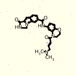 CN(C)C/C=C/C(=O)N1CCOc2ccc(NC(=O)c3ccc4cc5n(c4c3)CCNC5=O)cc21